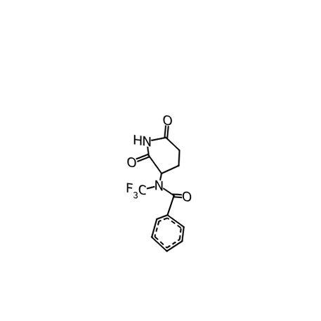 O=C1CCC(N(C(=O)c2ccccc2)C(F)(F)F)C(=O)N1